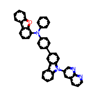 c1ccc(N(c2ccc(-c3ccc4c(c3)c3ccccc3n4-c3cnc4ncccc4c3)cc2)c2cccc3c2oc2ccccc23)cc1